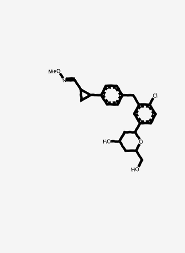 CO/N=C/C1CC1c1ccc(Cc2cc(C3CC(O)CC(CO)O3)ccc2Cl)cc1